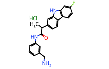 CC(C(=O)Nc1cccc(CN)c1)c1ccc2c(c1)[nH]c1cc(F)ccc12.Cl